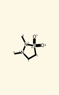 CN1CCS(=O)(=O)N1C